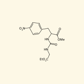 CCOC(=O)CNC(=O)NC(Cc1ccc([N+](=O)[O-])cc1)C(=O)OC